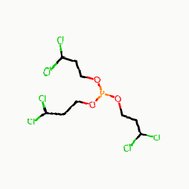 ClC(Cl)CCOP(OCCC(Cl)Cl)OCCC(Cl)Cl